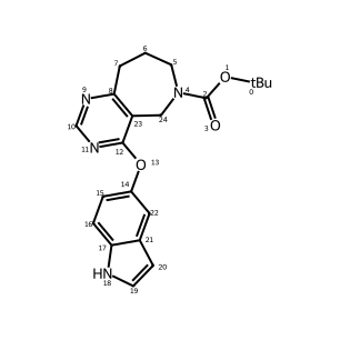 CC(C)(C)OC(=O)N1CCCc2ncnc(Oc3ccc4[nH]ccc4c3)c2C1